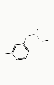 OB(OCl)Oc1cccc(F)c1